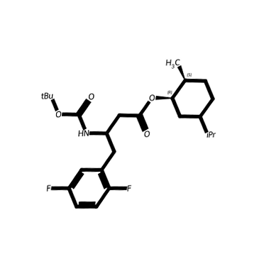 CC(C)C1CC[C@H](C)[C@H](OC(=O)CC(Cc2cc(F)ccc2F)NC(=O)OC(C)(C)C)C1